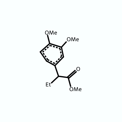 CCC(C(=O)OC)c1ccc(OC)c(OC)c1